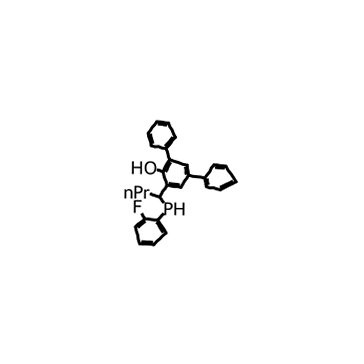 CCCC(Pc1ccccc1F)c1cc(-c2ccccc2)cc(-c2ccccc2)c1O